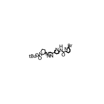 CC(C)(C)OC(=O)N1CCC[C@@H](n2cc(-c3ccc(NC(=O)c4cccc(Br)n4)nc3)nn2)C1